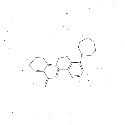 O=C1C=C2C(=C3CCCC=C13)CCc1c2cccc1C1CCCCCC1